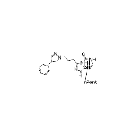 CCCCCC1NC2=CNC(=O)N3C(CCCn4cc(-c5ccccc5)cn4)=NNC23N1